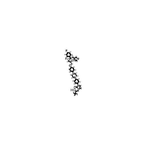 CC(C)(C)C(O)Cn1ncn(-c2ccc(N3CCN(c4ccc(OC[C@H]5CO[C@](Cn6cncn6)(c6ccc(F)cc6F)O5)cc4)CC3)cc2)c1=O